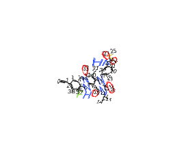 C#Cc1ccc(Nc2c3c(=O)n(C4CC4)c(=O)n(-c4cccc(NS(C)(=O)=O)c4)c3c(C)c(=O)n2C)c(F)c1